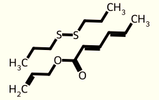 C=CCOC(=O)/C=C/C=C/C.CCCSSCCC